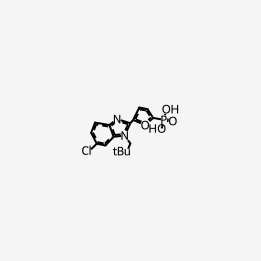 CC(C)(C)Cn1c(-c2ccc(P(=O)(O)O)o2)nc2ccc(Cl)cc21